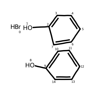 Br.Oc1ccccc1.Oc1ccccc1